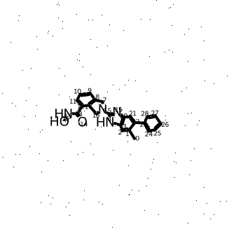 Cc1cc2[nH]c(N3Cc4cccc(C(=O)NO)c4C3)nc2cc1-c1ccccc1